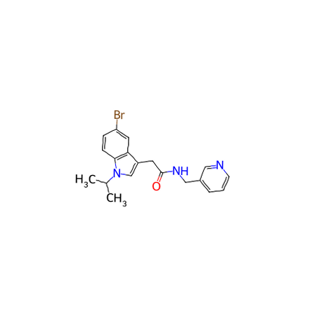 CC(C)n1cc(CC(=O)NCc2cccnc2)c2cc(Br)ccc21